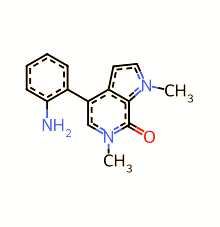 Cn1cc(-c2ccccc2N)c2ccn(C)c2c1=O